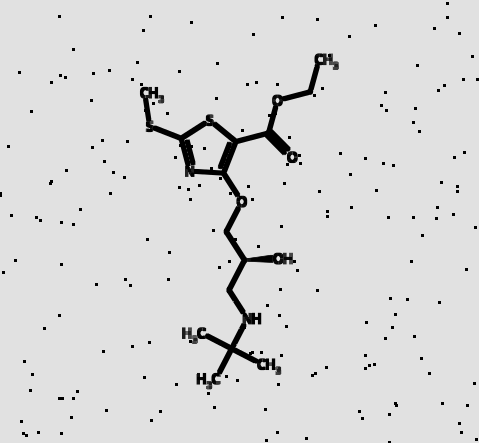 CCOC(=O)c1sc(SC)nc1OC[C@@H](O)CNC(C)(C)C